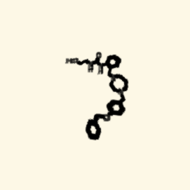 O=C(NCCO)Nc1ccccc1CN1CCCN(Cc2ccc(OCc3ccccc3)cc2)CC1